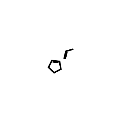 C1=CCCC1.C=CC